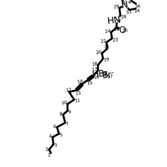 Br.CCCCCCCCCCCCC#CC#CCCCCCCCCC(=O)NCC[N+](CC)(CC)CC.[Br-]